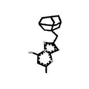 Cc1cc(O)n2nc(CC34CC5CC(CC(C5)C3)C4)cc2n1